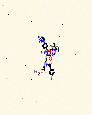 [2H]C([2H])([2H])N1CCN(C(=O)[C@H](CCCN(CC=C)C2C[C@H]2c2ccc(F)cc2)NC(=O)c2ccc(-n3ccnn3)cc2)CC1